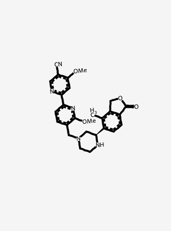 COc1cc(-c2ccc(CN3CCN[C@H](c4ccc5c(c4C)COC5=O)C3)c(OC)n2)ncc1C#N